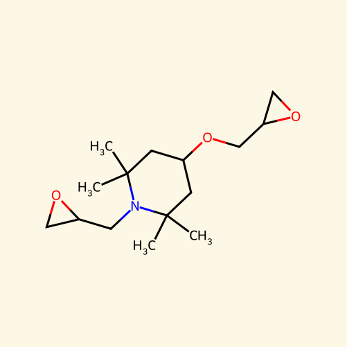 CC1(C)CC(OCC2CO2)CC(C)(C)N1CC1CO1